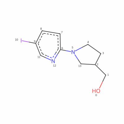 OCC1CCN(c2ccc(I)cn2)C1